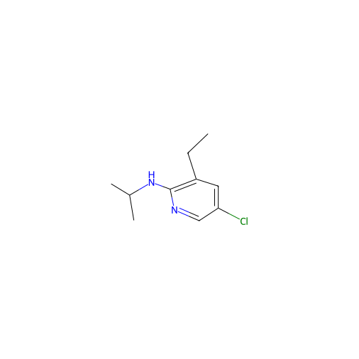 CCc1cc(Cl)cnc1NC(C)C